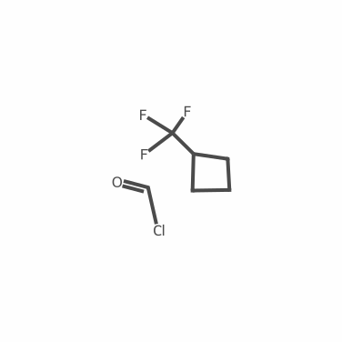 FC(F)(F)C1CCC1.O=CCl